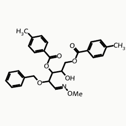 CON=CC(OCc1ccccc1)C(OC(=O)c1ccc(C)cc1)C(O)COC(=O)c1ccc(C)cc1